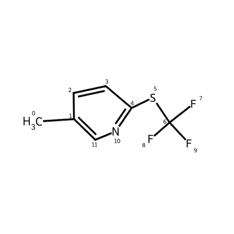 Cc1ccc(SC(F)(F)F)nc1